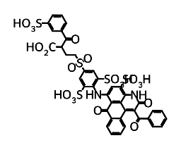 O=C(c1ccccc1)c1c2c3c(c(Nc4c(S(=O)(=O)O)cc(S(=O)(=O)CCC(C(=O)O)C(=O)c5cccc(S(=O)(=O)O)c5)cc4S(=O)(=O)O)cc(S(=O)(=O)O)c3[nH]c1=O)C(=O)c1ccccc1-2